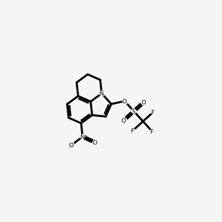 O=[N+]([O-])c1ccc2c3c1cc(OS(=O)(=O)C(F)(F)F)n3CCC2